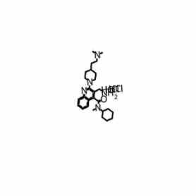 CN(C)CCC1CCN(c2nc3ccccc3c(C(=O)N(C)C3CCCCC3)c2CN)CC1.Cl.Cl.Cl